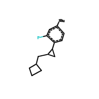 CC(C)(C)c1ccc(C2CC2CC2CCC2)c(F)c1